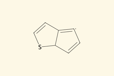 [C]1=C2C=CSC2C=C1